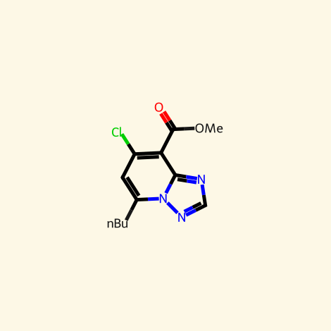 CCCCc1cc(Cl)c(C(=O)OC)c2ncnn12